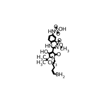 B/C=C\CCCN1C(=O)C(C2=NP(=O)(OC)c3cc(NS(=O)(=O)O)ccc3N2)=C(O)[C@@H]1C(C)(C)C